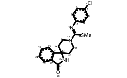 CSC(=Nc1ccc(Cl)cc1)N1CCC2(CC1)NC(=O)c1ccccc12